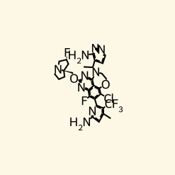 Cc1cc(N)nc(-c2c(Cl)c3c4c(nc(OC[C@@]56CCCN5C[C@H](F)C6)nc4c2F)N(C(C)c2ccnnc2N)CCO3)c1C(F)(F)F